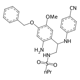 CCCS(=O)(=O)NCC(Nc1ccc(C#N)cc1)c1cc(OC)c(OCc2ccccc2)cc1N